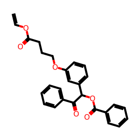 C=COC(=O)CCCOc1cccc(C(OC(=O)c2ccccc2)C(=O)c2ccccc2)c1